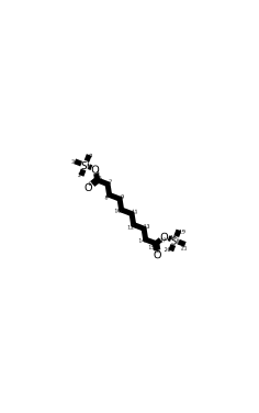 C[Si](C)(C)OC(=O)CCCCCCCCC(=O)O[Si](C)(C)C